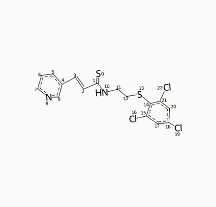 S=C(C=Cc1cccnc1)NCCSc1c(Cl)cc(Cl)cc1Cl